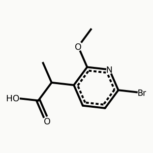 COc1nc(Br)ccc1C(C)C(=O)O